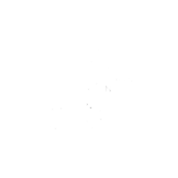 O=C1c2ccccc2C(=O)N1Cc1csc(-c2ccccc2)n1